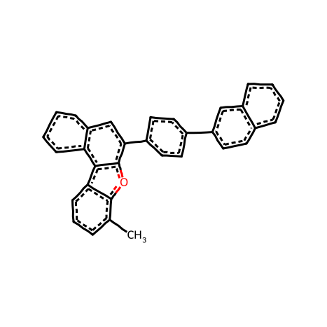 Cc1cccc2c1oc1c(-c3ccc(-c4ccc5ccccc5c4)cc3)cc3ccccc3c12